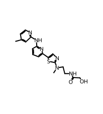 Cc1ccnc(Nc2cccc(-c3cnc(N(C)CCNC(=O)CO)s3)n2)c1